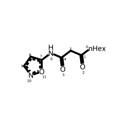 CCCCCCC(=O)CC(=O)Nc1ccno1